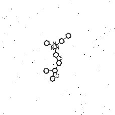 c1ccc(-c2ccc(-c3nc(-c4ccccc4)nc(-c4ccc5c(c4)sc4ccc(-c6cc(-c7ccccc7)c7c(c6)oc6ccccc67)cc45)n3)cc2)cc1